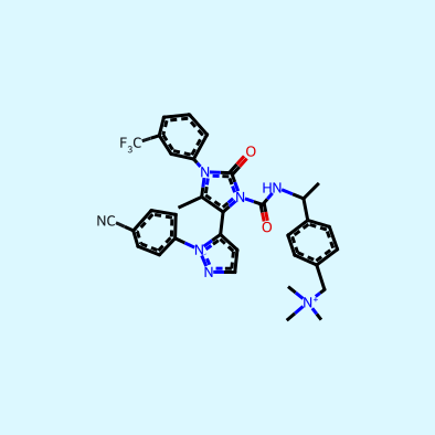 Cc1c(-c2ccnn2-c2ccc(C#N)cc2)n(C(=O)NC(C)c2ccc(C[N+](C)(C)C)cc2)c(=O)n1-c1cccc(C(F)(F)F)c1